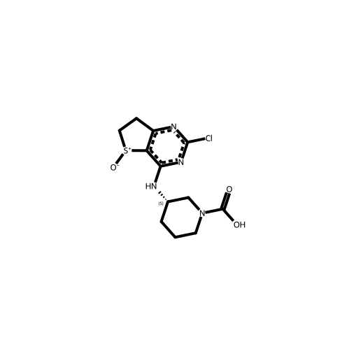 O=C(O)N1CCC[C@H](Nc2nc(Cl)nc3c2[S+]([O-])CC3)C1